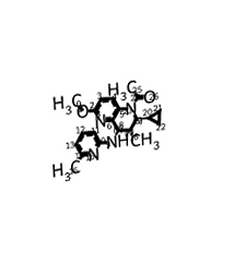 COc1ccc2c(n1)[C@H](Nc1cccc(C)n1)[C@@H](C)[C@H](C1CC1)N2C(C)=O